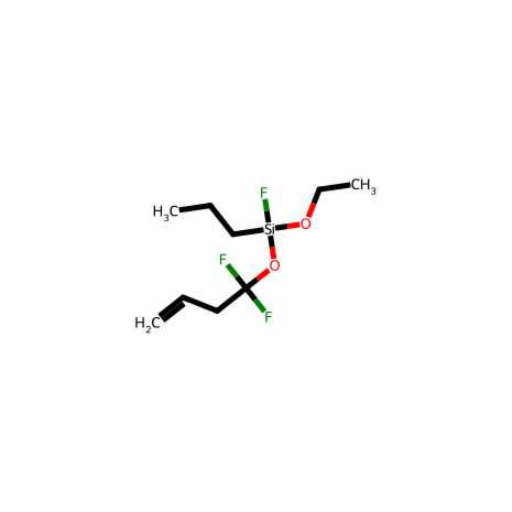 C=CCC(F)(F)O[Si](F)(CCC)OCC